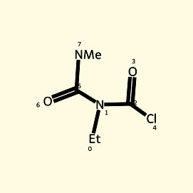 CCN(C(=O)Cl)C(=O)NC